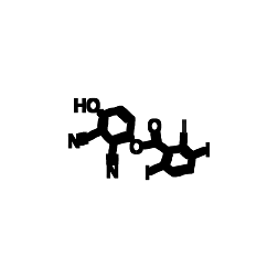 N#Cc1c(O)ccc(OC(=O)c2c(I)ccc(I)c2I)c1C#N